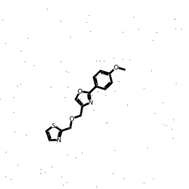 COc1ccc(-c2nc(COCc3nccs3)co2)cc1